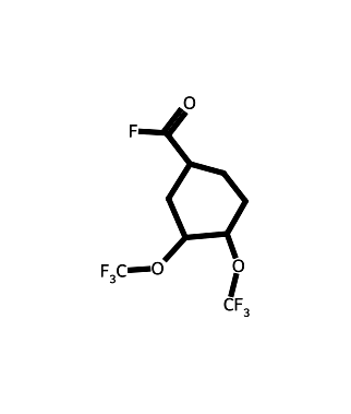 O=C(F)C1CCC(OC(F)(F)F)C(OC(F)(F)F)C1